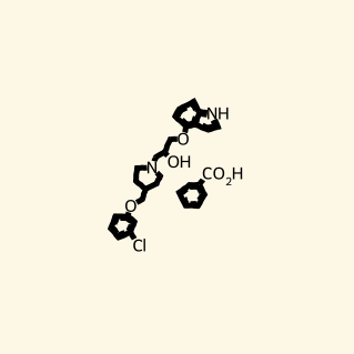 O=C(O)c1ccccc1.OC(COc1cccc2[nH]ccc12)CN1CCC(COc2cccc(Cl)c2)CC1